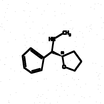 CNC(c1ccccc1)[C@@H]1CCCO1